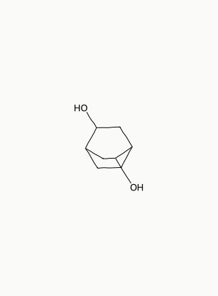 OC1CC2CCC1CC2O